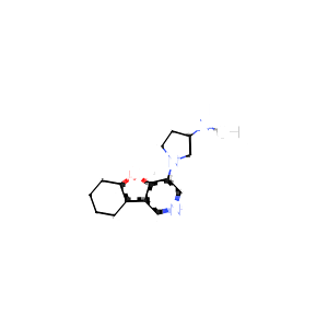 CNC1CCN(c2cncc3c4c(oc23)CCCC4)C1